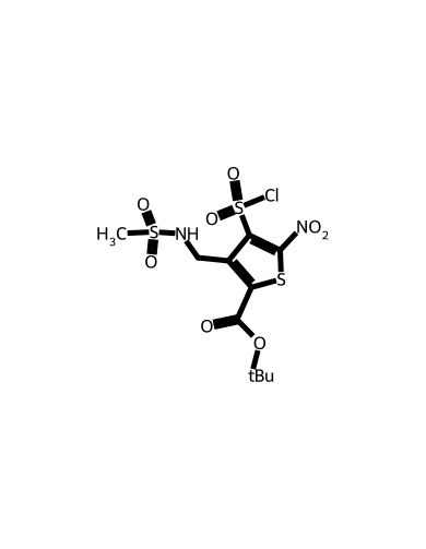 CC(C)(C)OC(=O)c1sc([N+](=O)[O-])c(S(=O)(=O)Cl)c1CNS(C)(=O)=O